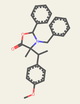 COc1ccc(C(C)C2(C)C(=O)OC(c3ccccc3)N2Cc2ccccc2)cc1